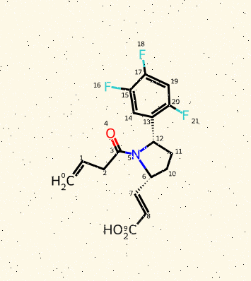 C=CCC(=O)N1[C@@H](/C=C/C(=O)O)CC[C@H]1c1cc(F)c(F)cc1F